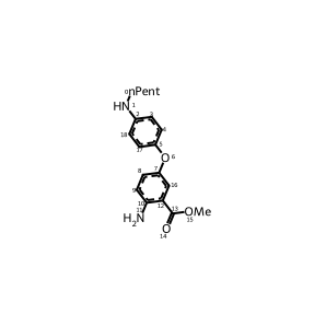 CCCCCNc1ccc(Oc2ccc(N)c(C(=O)OC)c2)cc1